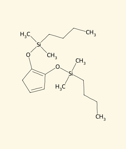 CCCC[Si](C)(C)OC1=C(O[Si](C)(C)CCCC)CC=C1